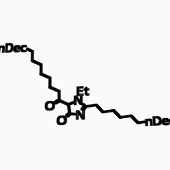 CCCCCCCCCCCCCCCCCC(=O)C1C(=O)N=C(CCCCCCCCCCCCCCCC)N1CC